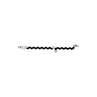 CCCC/C=C\CCCCCCCC(=O)OCCCCCCCCCCCCCC(=O)O